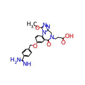 COc1nnc2n1-c1ccc(OCc3ccc(C(=N)N)cc3)cc1C(=O)N(CCC(=O)O)C2